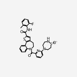 Cc1cccc(F)c1NC(=O)c1cc2c(s1)-c1ccccc1N(C(=O)c1cccc(N3CCN[S+]([O-])CC3)n1)CC2